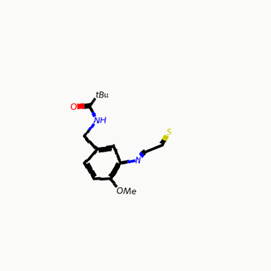 COc1ccc(CNC(=O)C(C)(C)C)cc1N=CC=S